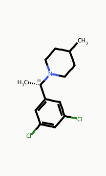 CC1CCN([C@@H](C)c2cc(Cl)cc(Cl)c2)CC1